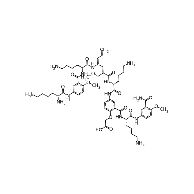 C=C/C=C(\C=C(/COC)C(=O)N[C@@H](CCCCN)C(=O)Nc1ccc(OCC(=O)O)c(C(=O)N[C@@H](CCCCN)C(=O)Nc2ccc(OC)c(C(N)=O)c2)c1)NC(=O)[C@H](CCCCN)NC(=O)c1cc(NC(=O)[C@@H](N)CCCCN)ccc1OC